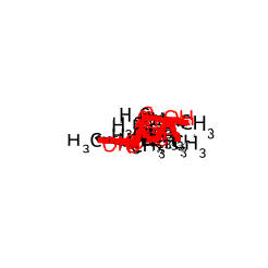 CCCCCCC(O)CCCCCCCCOC(=O)C(C)(C)OCCC(C)(C)OCC(COC(C)(C)CCOC(C)(C)C(=O)OCCCCCCCCC(O)CCCCCC)OC(C)(C)CCOC(C)(C)C(=O)OCCCCCCCCC(O)CCCCCC